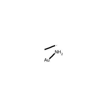 [CH2]C.[NH2][Au]